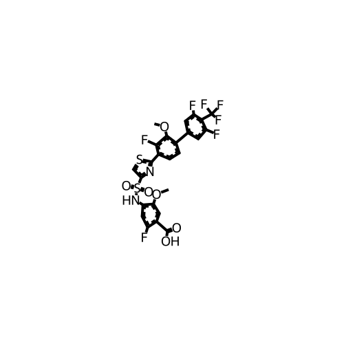 COc1cc(C(=O)O)c(F)cc1NS(=O)(=O)c1csc(-c2ccc(-c3cc(F)c(C(F)(F)F)c(F)c3)c(OC)c2F)n1